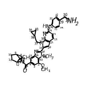 COc1cc(C(=O)N2CC3CCC2[C@@H]3C)cc2nc(-c3cc4ccc(Nc5ccc(CN)cc5)nc4n3CC3CC3)n(C)c12